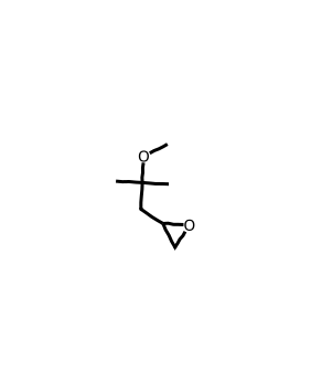 COC(C)(C)CC1CO1